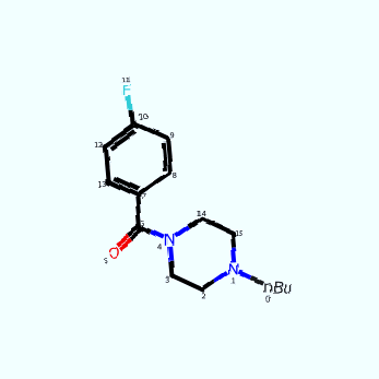 CCCCN1CCN(C(=O)c2ccc(F)cc2)CC1